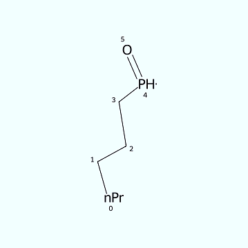 CCCCCC[PH]=O